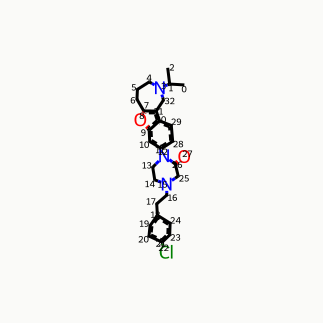 CC(C)N1CCCc2oc3cc(N4CCN(CCc5ccc(Cl)cc5)CC4=O)ccc3c2C1